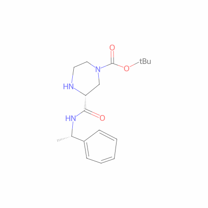 C[C@H](NC(=O)[C@H]1CN(C(=O)OC(C)(C)C)CCN1)c1ccccc1